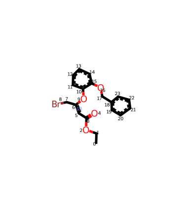 CCOC(=O)/C=C(/CBr)Oc1ccccc1OCc1ccccc1